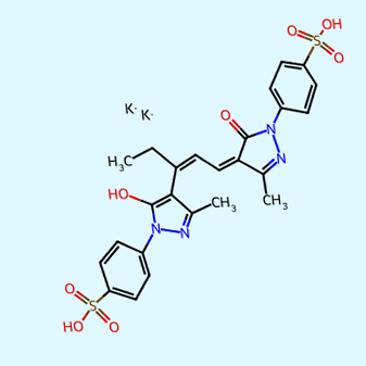 CCC(=CC=C1C(=O)N(c2ccc(S(=O)(=O)O)cc2)N=C1C)c1c(C)nn(-c2ccc(S(=O)(=O)O)cc2)c1O.[K].[K]